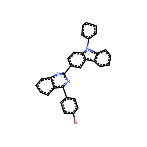 Brc1ccc(-c2nc(-c3ccc4c(c3)c3ccccc3n4-c3ccccc3)nc3ccccc23)cc1